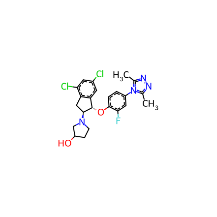 Cc1nnc(C)n1-c1ccc(O[C@H]2c3cc(Cl)cc(Cl)c3C[C@@H]2N2CCC(O)C2)c(F)c1